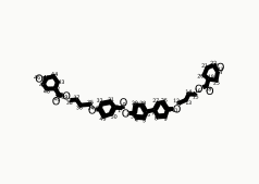 O=C(Oc1ccc(-c2ccc(OCCCCOC(=O)C3CCC4OC4C3)cc2)cc1)c1ccc(OCCCCOC(=O)C2CCC3OC3C2)cc1